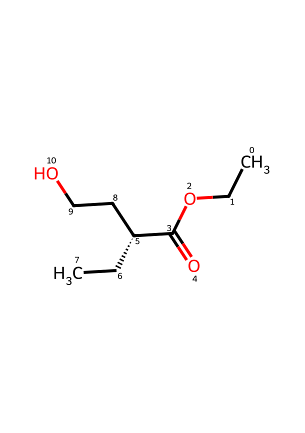 CCOC(=O)[C@H](CC)CCO